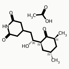 CC(=O)O.C[C@@H]1C[C@@H]([C@H](O)CC2CC(=O)NC(=O)C2)C(=O)[C@@H](C)C1